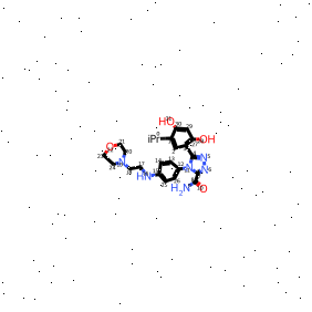 CC(C)c1cc(-c2nnc(C(N)=O)n2-c2ccc(NCCN3CCOCC3)cc2)c(O)cc1O